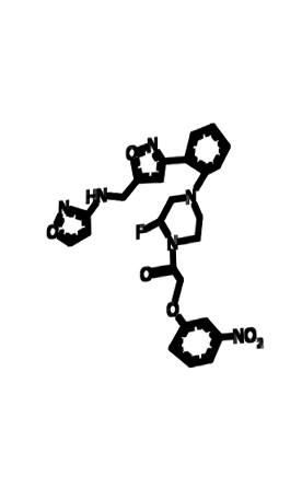 O=C(COc1cccc([N+](=O)[O-])c1)N1CCN(c2ccccc2-c2cc(CNc3ccon3)on2)CC1F